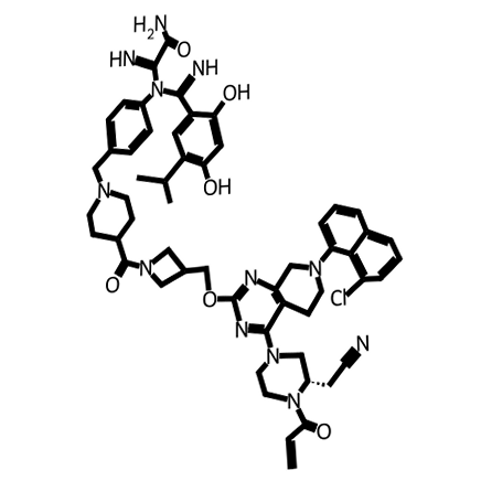 C=CC(=O)N1CCN(c2nc(OCC3CN(C(=O)C4CCN(Cc5ccc(N(C(=N)C(N)=O)C(=N)c6cc(C(C)C)c(O)cc6O)cc5)CC4)C3)nc3c2CCN(c2cccc4cccc(Cl)c24)C3)C[C@@H]1CC#N